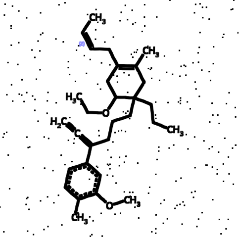 C=C=C(CCCC1(CCC)CC(C)=C(C/C=C\C)CC1OCC)c1ccc(C)c(OC)c1